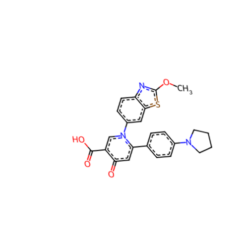 COc1nc2ccc(-n3cc(C(=O)O)c(=O)cc3-c3ccc(N4CCCC4)cc3)cc2s1